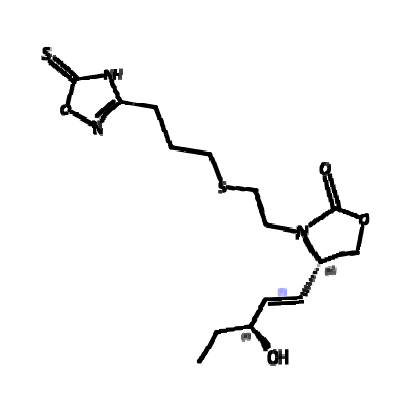 CC[C@H](O)/C=C/[C@H]1COC(=O)N1CCSCCCc1noc(=S)[nH]1